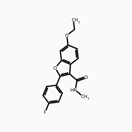 CCOc1[c]cc2c(C(=O)NC)c(-c3ccc(F)cc3)oc2c1